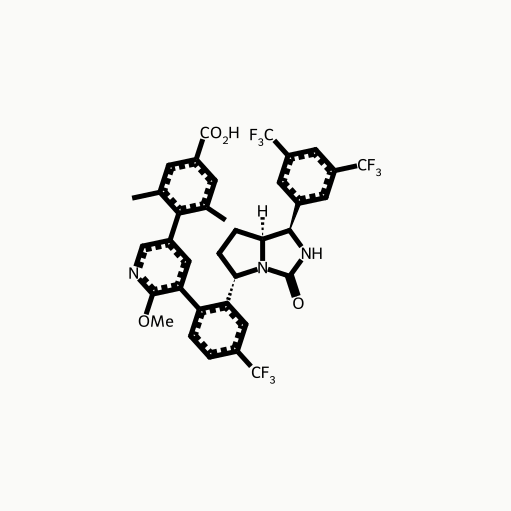 COc1ncc(-c2c(C)cc(C(=O)O)cc2C)cc1-c1ccc(C(F)(F)F)cc1[C@@H]1CC[C@H]2[C@@H](c3cc(C(F)(F)F)cc(C(F)(F)F)c3)NC(=O)N12